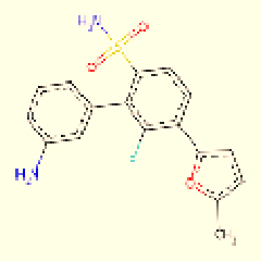 Cc1ccc(-c2ccc(S(N)(=O)=O)c(-c3cccc(N)c3)c2F)o1